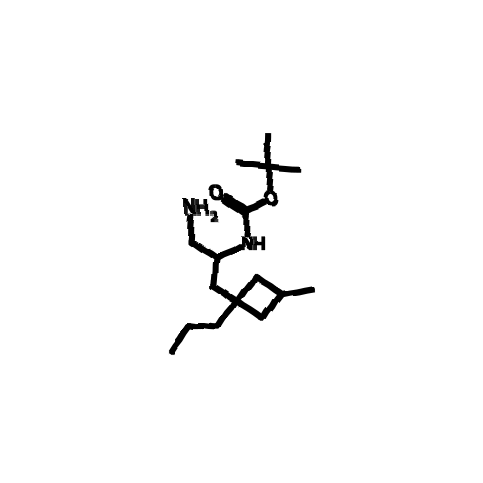 CCCC1(CC(CN)NC(=O)OC(C)(C)C)CC(C)C1